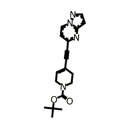 CC(C)(C)OC(=O)N1CC=C(C#Cc2ccn3nccc3n2)CC1